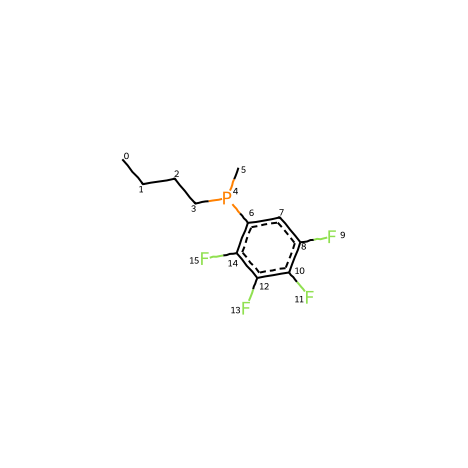 CCCCP(C)c1cc(F)c(F)c(F)c1F